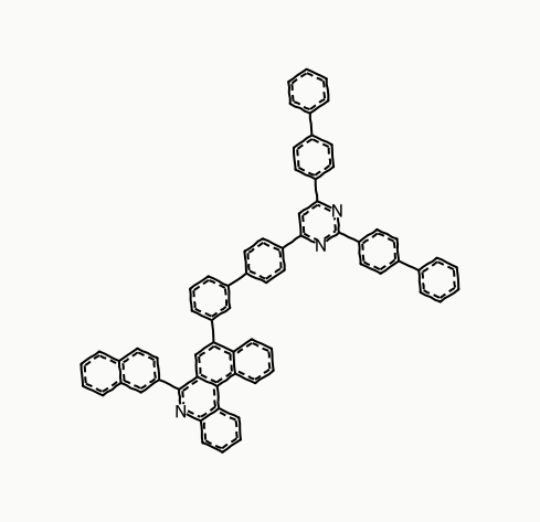 c1ccc(-c2ccc(-c3cc(-c4ccc(-c5cccc(-c6cc7c(-c8ccc9ccccc9c8)nc8ccccc8c7c7ccccc67)c5)cc4)nc(-c4ccc(-c5ccccc5)cc4)n3)cc2)cc1